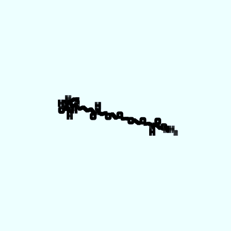 NOCC(=O)NCCOCCOCCOCCOCCNC(=O)CCCC[C@@H]1SC[C@@H]2NC(=O)N[C@@H]21